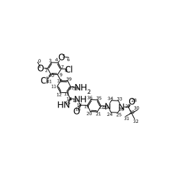 COc1cc(OC)c(Cl)c(-c2ccc(C(=N)NC(=O)c3ccc(N4CCN(C(=O)C(C)(C)C)CC4)cc3)c(N)c2)c1Cl